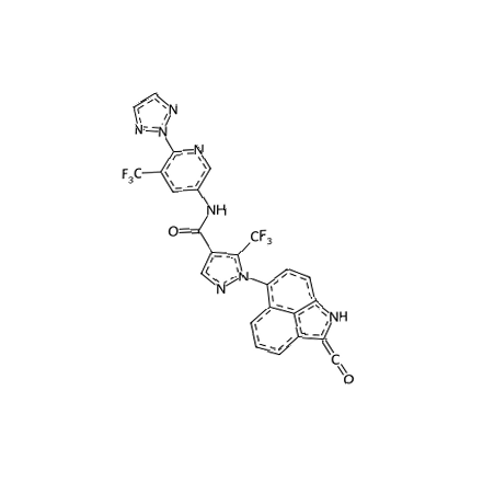 O=C=c1[nH]c2ccc(-n3ncc(C(=O)Nc4cnc(-n5nccn5)c(C(F)(F)F)c4)c3C(F)(F)F)c3cccc1c23